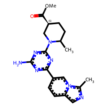 COC(=O)[C@H]1CCC(C)N(c2nc(N)nc(-c3ccc4cnc(C)n4c3)n2)C1